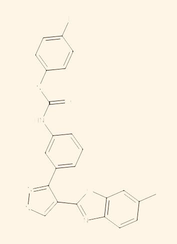 Cc1ccc2nc(-c3c[nH]nc3-c3cccc(NC(=O)Nc4ccc(F)cc4)c3)oc2c1